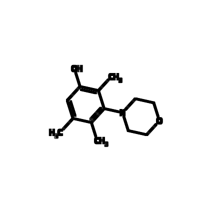 Cc1cc(O)c(C)c(N2CCOCC2)c1C